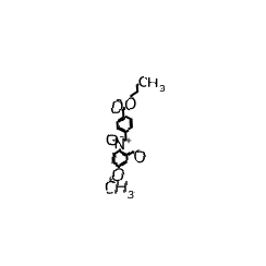 CCCCOC(=O)c1ccc(C=[N+]([O-])c2ccc(OCC)cc2C=O)cc1